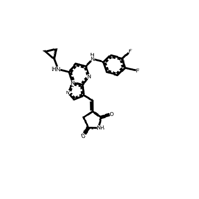 O=C1C/C(=C\c2cnn3c(NC4CC4)cc(Nc4ccc(F)c(F)c4)nc23)C(=O)N1